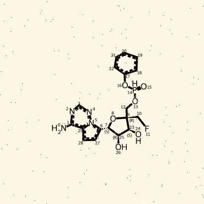 Nc1ncnn2c([C@@H]3O[C@](CF)(CO[PH](=O)Oc4ccccc4)[C@@H](O)[C@H]3O)ccc12